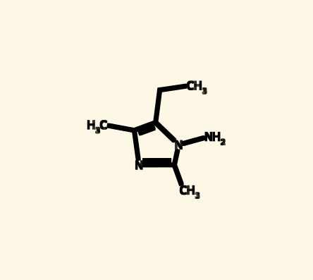 CCc1c(C)nc(C)n1N